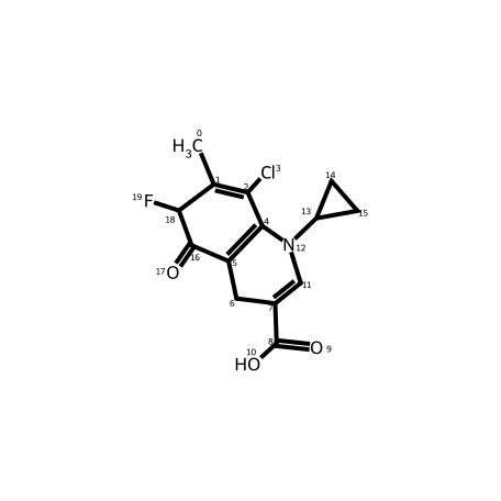 CC1=C(Cl)C2=C(CC(C(=O)O)=CN2C2CC2)C(=O)C1F